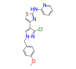 COc1ccc(Cn2cc(-c3csc(Nc4ccccn4)n3)c(Cl)n2)cc1